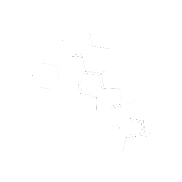 Cc1ncc(-c2c(C)ncnc2N2CCOCC2)cc1NS(=O)(=O)c1cn(C)c(C)n1